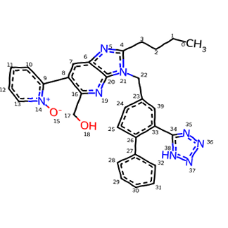 CCCCc1nc2cc(-c3cccc[n+]3[O-])c(CO)nc2n1Cc1ccc(-c2ccccc2)c(-c2nnn[nH]2)c1